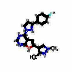 Cc1nn(C)cc1-c1cc2c(-n3ccc(-c4ccc(F)cc4)n3)ncnc2o1